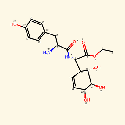 CCOC(=O)[C@@H](NC(=O)[C@@H](N)Cc1ccc(O)cc1)[C@@H]1C=C[C@H](O)[C@H](O)[C@H]1O